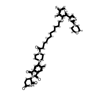 O=C1CCC(N2C(=O)c3cc(F)c(N4CCN(C(=O)CCCCCCCCCCOc5c(-c6csc(N7CCOCC7)n6)ccc(F)c5F)CC4)cc3C2=O)C(=O)N1